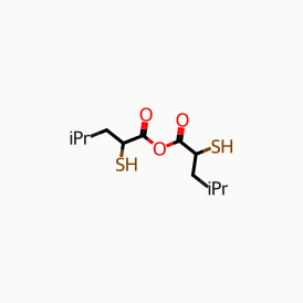 CC(C)CC(S)C(=O)OC(=O)C(S)CC(C)C